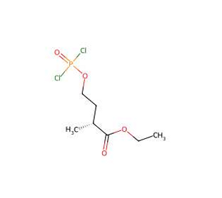 CCOC(=O)[C@H](C)CCOP(=O)(Cl)Cl